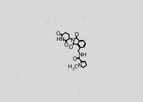 CN1CCC=C1C(=O)NCc1cccc2c1C(=O)N(C1CCC(=O)NC1=O)C2=O